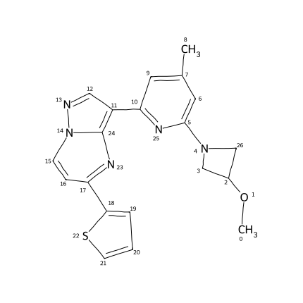 COC1CN(c2cc(C)cc(-c3cnn4ccc(-c5cccs5)nc34)n2)C1